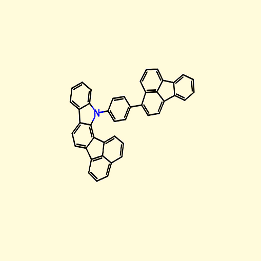 c1ccc2c(c1)-c1cccc3c(-c4ccc(-n5c6ccccc6c6ccc7c(c65)-c5cccc6cccc-7c56)cc4)ccc-2c13